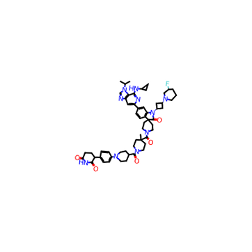 CC(C)n1cnc2cc(-c3ccc4c(c3)N([C@H]3C[C@@H](N5CCC[C@H](F)C5)C3)C(=O)C43CCN(C(=O)C4(C)CCN(C(=O)C5CCN(c6ccc(C7CCC(=O)NC7=O)cc6)CC5)CC4)CC3)nc(NC3CC3)c21